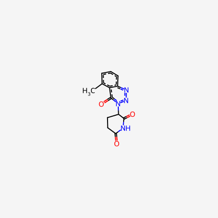 Cc1cccc2nnn(C3CCC(=O)NC3=O)c(=O)c12